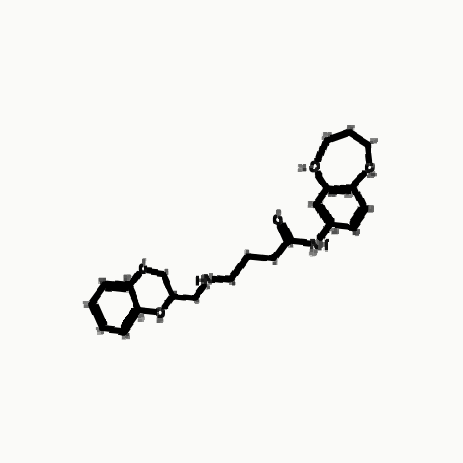 O=C(CCCNCC1COc2ccccc2O1)Nc1ccc2c(c1)OCCCO2